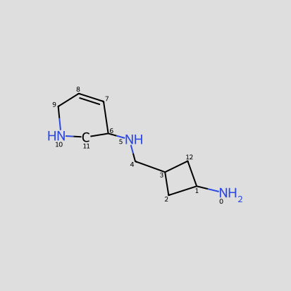 NC1CC(CNC2C=CCNC2)C1